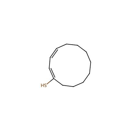 SC1=CC=CCCCCCCCC1